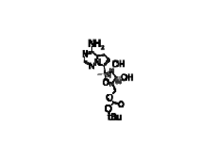 CC(C)(C)OC(=O)OC[C@H]1O[C@@](C)(c2ccc3c(N)ncnn23)[C@H](O)[C@@H]1O